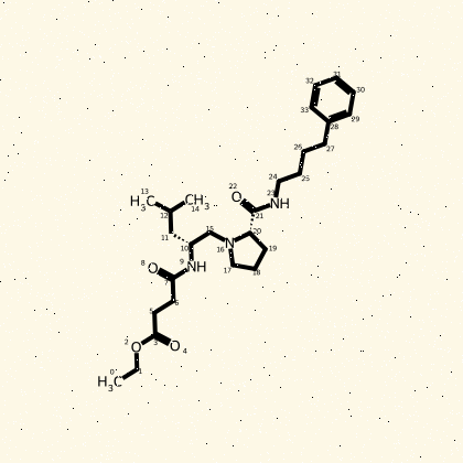 CCOC(=O)CCC(=O)N[C@H](CC(C)C)CN1CCC[C@H]1C(=O)NCCCCc1ccccc1